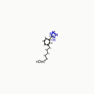 CCCCCCCCCCCCCCCc1cccc(-c2nnn[nH]2)c1